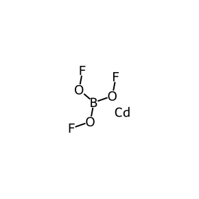 FOB(OF)OF.[Cd]